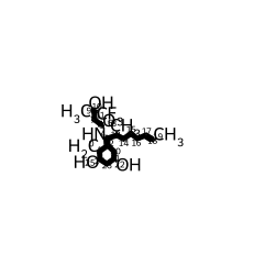 C=C1C(=C(NC(=O)C[C@](C)(O)C(F)(F)F)[C@H](C)CCC/C=C/C)C[C@@H](O)C[C@@H]1O